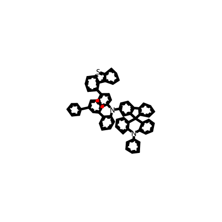 c1ccc(-c2cccc(-c3ccccc3N(c3ccc(-c4cccc5sc6ccccc6c45)cc3)c3ccc4c(c3)C3(c5ccccc5-4)c4ccccc4N(c4ccccc4)c4ccccc43)c2)cc1